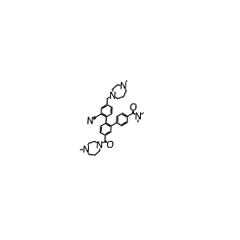 CN1CCCN(Cc2ccc(-c3ccc(C(=O)N4CCCN(C)CC4)cc3-c3ccc(C(=O)N(C)C)cc3)c(C#N)c2)CC1